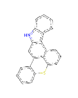 c1ccc2c(c1)Sc1cccc3c1c-2cc1[nH]c2ccccc2c13